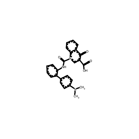 CN(C)c1ccc(-c2ccccc2NC(=O)n2cc(C(=O)O)c(=O)c3ccccc32)cc1